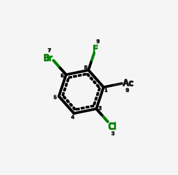 CC(=O)c1c(Cl)ccc(Br)c1F